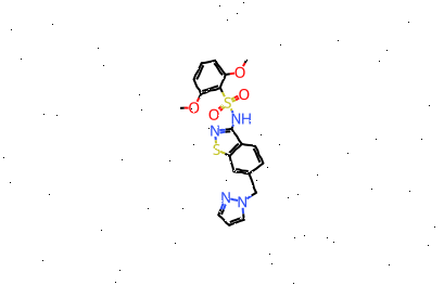 COc1cccc(OC)c1S(=O)(=O)Nc1nsc2cc(Cn3cccn3)ccc12